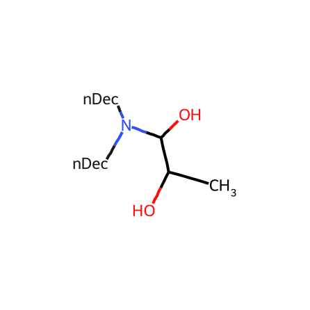 CCCCCCCCCCN(CCCCCCCCCC)C(O)C(C)O